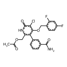 CC(=O)OCc1[nH]c(=O)c(Cl)c(OCc2ccc(F)cc2F)c1-c1cccc(C(N)=O)c1